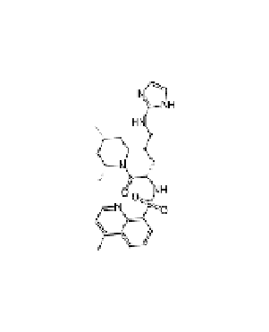 Cc1ccnc2c(S(=O)(=O)N[C@@H](CCCNc3ncc[nH]3)C(=O)N3CC[C@@H](C)C[C@H]3C)cccc12